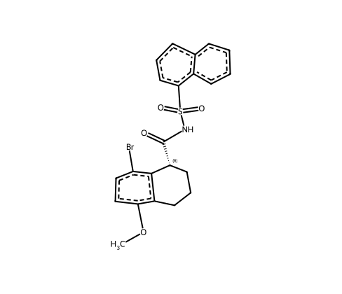 COc1ccc(Br)c2c1CCC[C@H]2C(=O)NS(=O)(=O)c1cccc2ccccc12